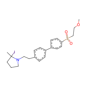 COCCS(=O)(=O)c1ccc(-c2ccc(CCN3CCCC3(C)I)cc2)cc1